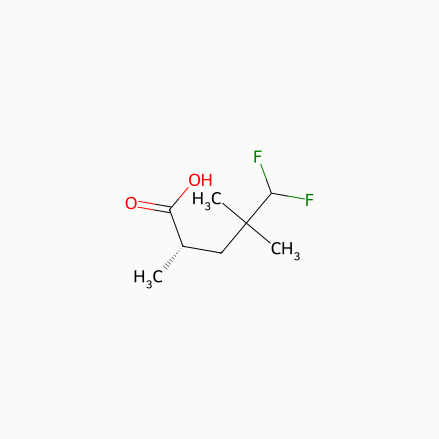 C[C@@H](CC(C)(C)C(F)F)C(=O)O